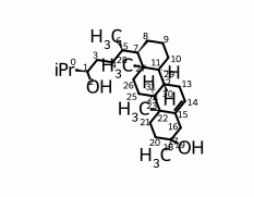 CC(C)[C@H](O)CC[C@@H](C)[C@H]1CCC[C@H]2[C@@H]3CC=C4C[C@@](C)(O)CC[C@]4(C)[C@H]3CC[C@]12C